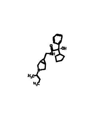 CCC(C)N1CC2C(CNC(=O)[C@@](O)(c3ccccc3)C3CCCC3)C2C1